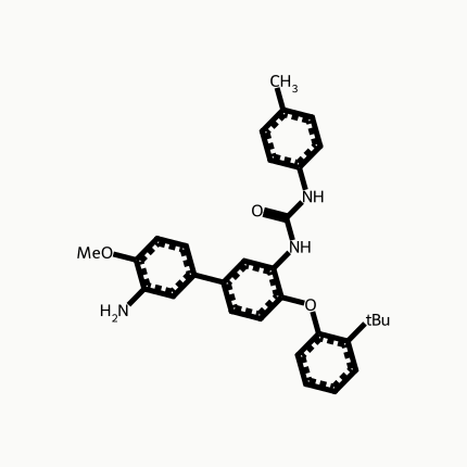 COc1ccc(-c2ccc(Oc3ccccc3C(C)(C)C)c(NC(=O)Nc3ccc(C)cc3)c2)cc1N